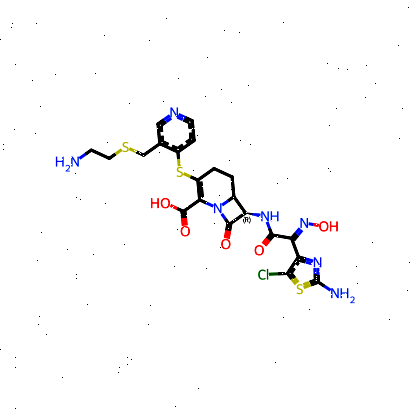 NCCSCc1cnccc1SC1=C(C(=O)O)N2C(=O)[C@H](NC(=O)C(=NO)c3nc(N)sc3Cl)C2CC1